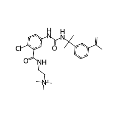 C=C(C)c1cccc(C(C)(C)NC(=O)Nc2ccc(Cl)c(C(=O)NCC[N+](C)(C)C)c2)c1